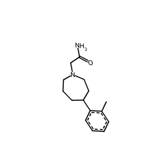 Cc1ccccc1C1CCCN(CC(N)=O)CC1